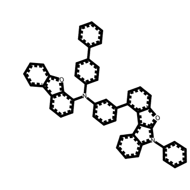 c1ccc(-c2ccc(N(c3cccc(-c4cccc5oc6c(c7ccccc7n6-c6ccccc6)c45)c3)c3cccc4c3oc3ccccc34)cc2)cc1